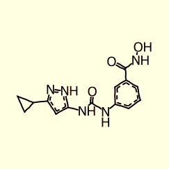 O=C(Nc1cccc(C(=O)NO)c1)Nc1cc(C2CC2)n[nH]1